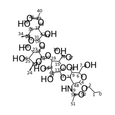 CCCOC1OC(CO)C(O)C(OC2OC(C(=O)O)C(O[C@@H]3O[C@@H](C)C(O)C(O)C3O[C@@H]3O[C@@H](C)C(O)C(OC(C)=O)C3O)C(O)C2O)C1NC(C)=O